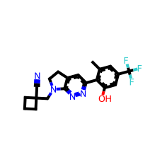 Cc1cc(C(F)(F)F)cc(O)c1-c1cc2c(nn1)N(CC1(C#N)CCC1)CC2